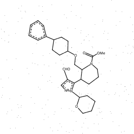 COC(=O)N1CCCC(c2c(C=O)cnn2C2CCCCO2)C1COC1CCC(c2ccccc2)CC1